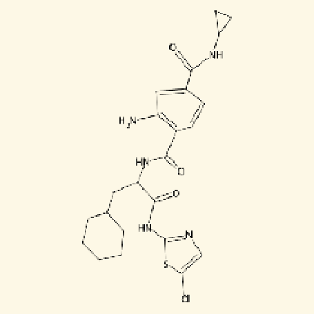 Nc1cc(C(=O)NC2CC2)ccc1C(=O)NC(CC1CCCCC1)C(=O)Nc1ncc(Cl)s1